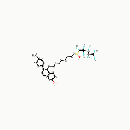 Cc1ccc(-c2ccc3cc(O)ccc3c2CCCCCCCCC[S+]([O-])C(F)C(F)(F)C(F)C(F)C(F)F)cc1